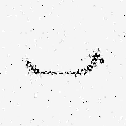 CC(=O)c1c(C)c2cnc(Nc3ccc(N4CCN(CC(=O)NCCOCCOCCOCCOCCOCCNc5ccc(C(=O)NC6=NCC(C)S6)c(C)c5)CC4)cn3)nc2n(C2CCCC2)c1=O